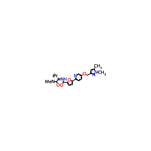 CNC(=O)[C@@H](NC(=O)c1ccc(-c2ccc(OCc3cc(C)n(C)n3)cn2)o1)C(C)C